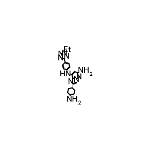 CCn1nnc(-c2ccc(Nc3cc(N)nn4cc([C@H]5CC[C@H](N)CC5)nc34)cc2)n1